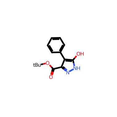 CC(C)(C)OC(=O)c1n[nH]c(O)c1-c1ccccc1